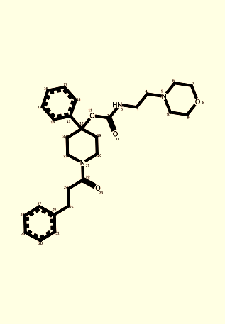 O=C(NCCN1CCOCC1)OC1(c2ccccc2)CCN(C(=O)CCc2ccccc2)CC1